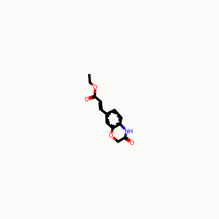 CCOC(=O)C=Cc1ccc2c(c1)OCC(=O)N2